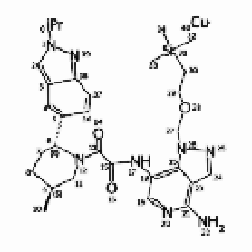 CC(C)n1cc2cc([C@H]3CC[C@H](C)CN3C(=O)C(=O)Nc3cnc(N)c4cnn(COCC[Si](C)(C)C)c34)ccc2n1.[Cu]